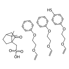 C=COCCOc1ccc(S)cc1.C=COCCOc1ccccc1.C=COCCOc1ccccc1.CC1(C)C2CCC1(CS(=O)(=O)O)C(=O)C2